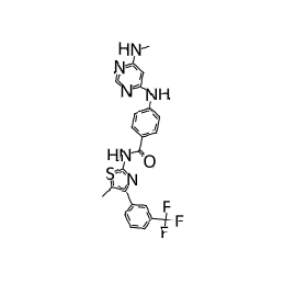 CNc1cc(Nc2ccc(C(=O)Nc3nc(-c4cccc(C(F)(F)F)c4)c(C)s3)cc2)ncn1